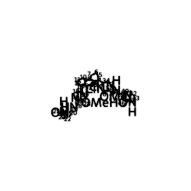 COc1nc(-c2cccc(-c3cccc(-c4cnc(CNC[C@@H]5CCC(=O)N5)c(OC)n4)c3Cl)c2Cl)cnc1CNCCN1CCNC1O